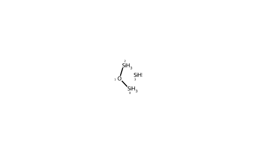 [SiH3]O[SiH3].[SiH]